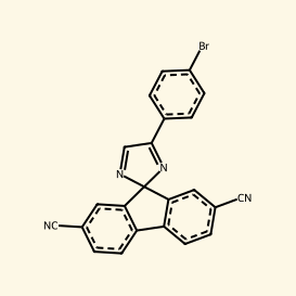 N#Cc1ccc2c(c1)C1(N=CC(c3ccc(Br)cc3)=N1)c1cc(C#N)ccc1-2